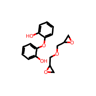 C(OCC1CO1)C1CO1.Oc1ccccc1Oc1ccccc1O